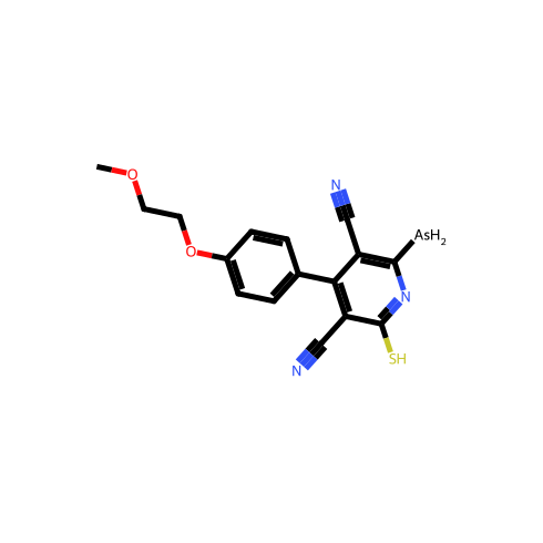 COCCOc1ccc(-c2c(C#N)c(S)nc([AsH2])c2C#N)cc1